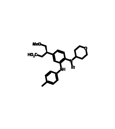 CCN(c1ccc([C@H](COC)CC(=O)O)cc1Nc1ccc(C)cc1)C1CCOCC1